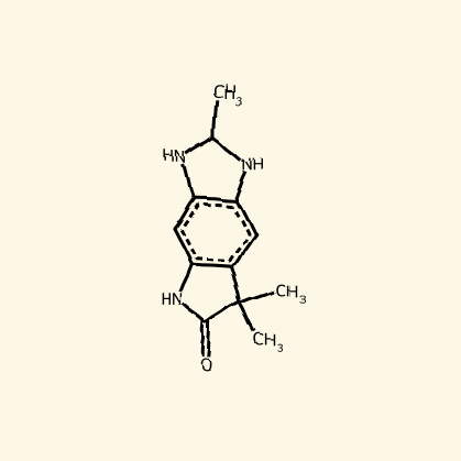 CC1Nc2cc3c(cc2N1)C(C)(C)C(=O)N3